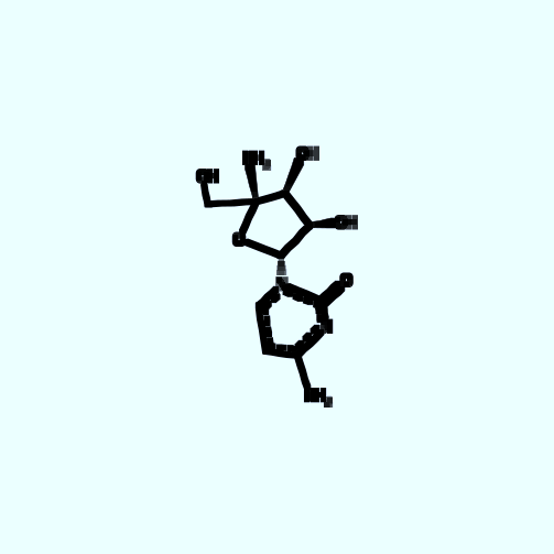 Nc1ccn([C@@H]2O[C@](N)(CO)[C@@H](O)[C@H]2O)c(=O)n1